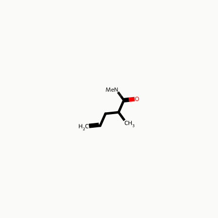 C=CCC(C)C(=O)NC